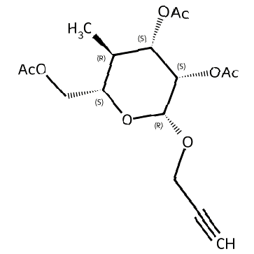 C#CCO[C@@H]1O[C@H](COC(C)=O)[C@@H](C)[C@H](OC(C)=O)[C@@H]1OC(C)=O